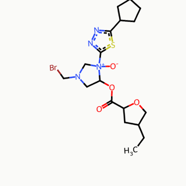 CCC1COC(C(=O)OC2CN(CBr)C[N+]2([O-])c2nnc(C3CCCC3)s2)C1